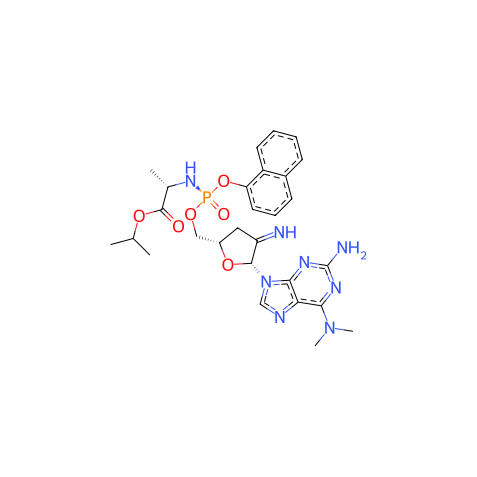 CC(C)OC(=O)[C@H](C)N[P@@](=O)(OC[C@@H]1CC(=N)[C@H](n2cnc3c(N(C)C)nc(N)nc32)O1)Oc1cccc2ccccc12